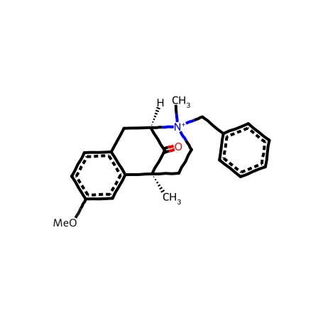 COc1ccc2c(c1)[C@]1(C)CC[N+](C)(Cc3ccccc3)[C@H](C2)C1=O